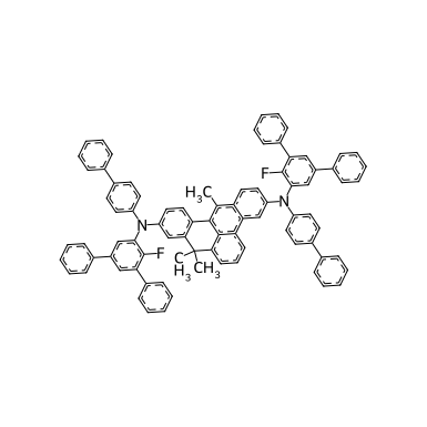 Cc1c2c3c(cccc3c3cc(N(c4ccc(-c5ccccc5)cc4)c4cc(-c5ccccc5)cc(-c5ccccc5)c4F)ccc13)C(C)(C)c1cc(N(c3ccc(-c4ccccc4)cc3)c3cc(-c4ccccc4)cc(-c4ccccc4)c3F)ccc1-2